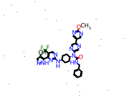 COc1ncc(-c2cnc(N(C(=O)NCc3ccccc3)[C@H]3CC[C@H](Nc4ncc(C(F)(F)F)c(-c5[nH]ncc5C)n4)CC3)cn2)cn1